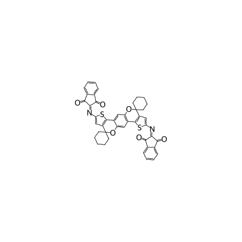 O=c1c(=Nc2cc3c(s2)-c2cc4c(cc2OC32CCCCC2)-c2sc(N=c3c(=O)c5ccccc5c3=O)cc2C2(CCCCC2)O4)c(=O)c2ccccc12